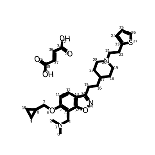 CN(C)Cc1c(OCC2CC2)ccc2c(CCC3CCN(CCc4cccs4)CC3)noc12.O=C(O)C=CC(=O)O